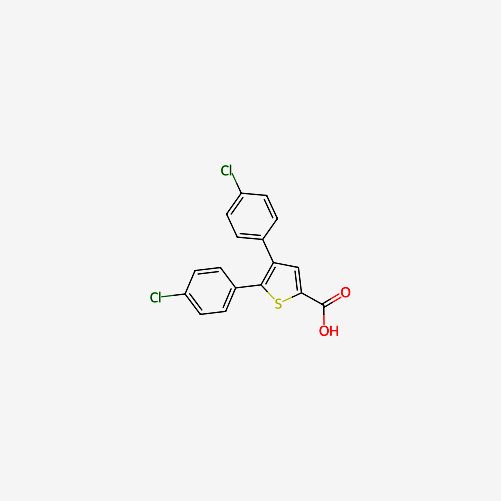 O=C(O)c1cc(-c2ccc(Cl)cc2)c(-c2ccc(Cl)cc2)s1